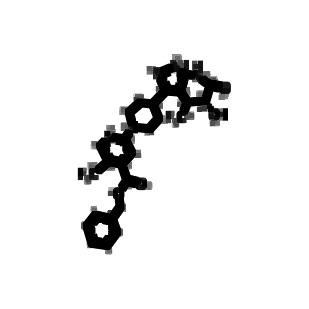 O=C(OCc1ccccc1)c1cc(N2CCC(c3n[nH]c4c3C(C(F)(F)F)[C@@H](O)C(=O)N4)CC2)ncc1C(F)(F)F